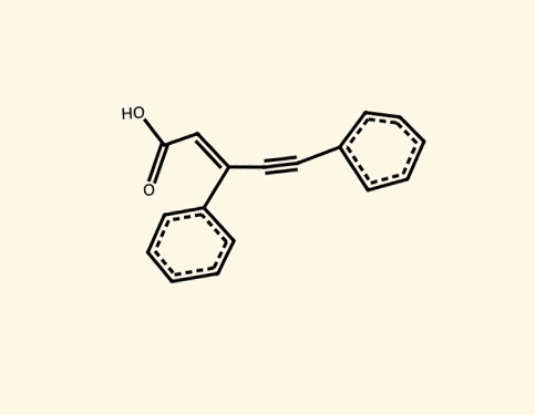 O=C(O)/C=C(/C#Cc1ccccc1)c1ccccc1